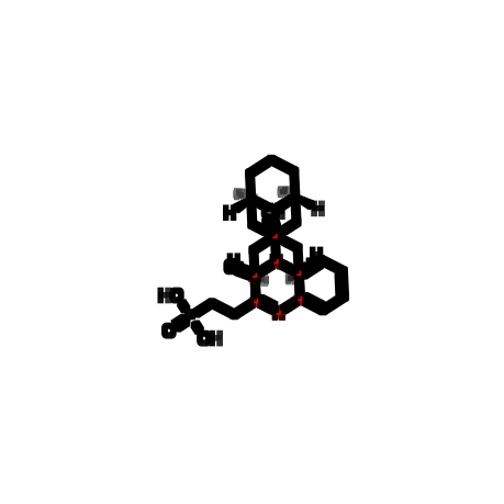 C#CC1[C@@H]2CCC[C@H]1C[C@H](N1[C@@H]3CCC[C@H]1C[C@@H](n1c(=O)c(CCP(=O)(O)O)nc4ccccc41)C3)C2